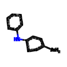 [AsH2]c1ccc(Nc2ccccc2)cc1